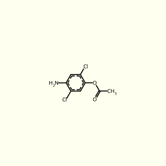 CC(=O)Oc1cc(Cl)c(N)cc1Cl